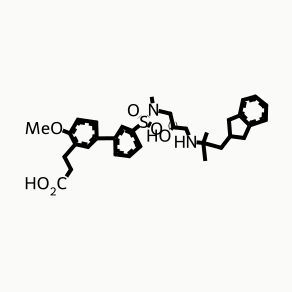 COc1ccc(-c2cccc(S(=O)(=O)N(C)C[C@H](O)CNC(C)(C)CC3Cc4ccccc4C3)c2)cc1CCC(=O)O